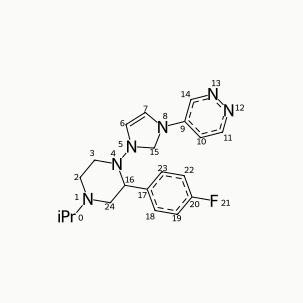 CC(C)N1CCN(N2C=CN(c3ccnnc3)C2)C(c2ccc(F)cc2)C1